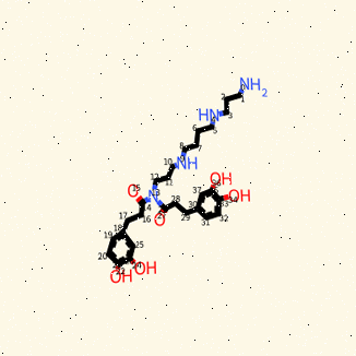 NCCCNCCCCNCCCN(C(=O)CCc1ccc(O)c(O)c1)C(=O)CCc1ccc(O)c(O)c1